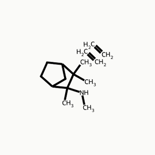 C=C.C=C.CNC1(C)C2CCC(C2)C1(C)C